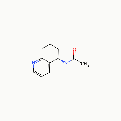 CC(=O)N[C@@H]1CCCc2ncccc21